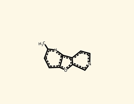 Cc1ccc2oc3cnccc3c2n1